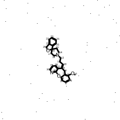 COc1cccc2c1C/C(=C/CCN1CCC3(CC1)OCc1ccccc13)c1cccnc1O2